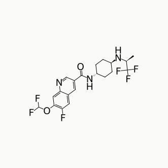 C[C@H](N[C@H]1CC[C@H](NC(=O)c2cnc3cc(OC(F)F)c(F)cc3c2)CC1)C(F)(F)F